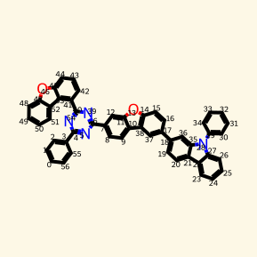 c1ccc(-c2nc(-c3ccc4c(c3)oc3ccc(-c5ccc6c7ccccc7n(-c7ccccc7)c6c5)cc34)nc(-c3cccc4oc5ccccc5c34)n2)cc1